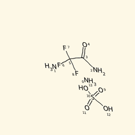 N.N.NC(=O)C(F)(F)F.O=S(=O)(O)O